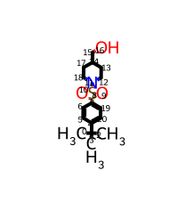 CC(C)(C)c1ccc(S(=O)(=O)N2CCC(CO)CC2)cc1